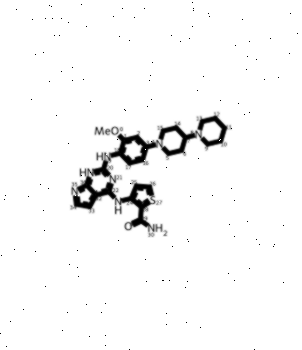 COc1cc(N2CCC(N3CCCCC3)CC2)ccc1Nc1nc(Nc2ccsc2C(N)=O)c2ccnc-2[nH]1